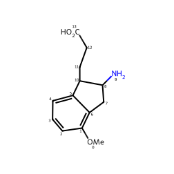 COc1cccc2c1CC(N)C2CCC(=O)O